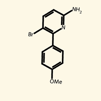 COc1ccc(-c2nc(N)ccc2Br)cc1